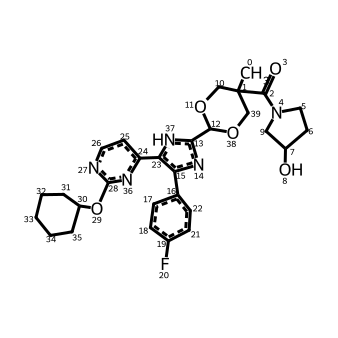 CC1(C(=O)N2CCC(O)C2)COC(c2nc(-c3ccc(F)cc3)c(-c3ccnc(OC4CCCCC4)n3)[nH]2)OC1